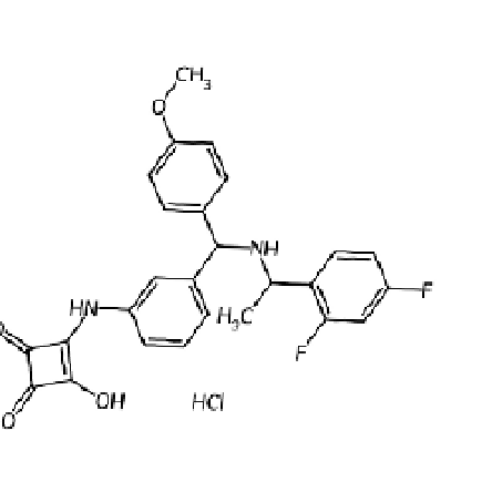 COc1ccc(C(NC(C)c2ccc(F)cc2F)c2cccc(Nc3c(O)c(=O)c3=O)c2)cc1.Cl